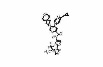 C[C@H](n1cnnc1-c1nc(NC(=O)c2cc(-n3cnc(C4CC4)c3)c(N3CC4(CCOCC4)C3)cn2)cs1)C(F)(F)F